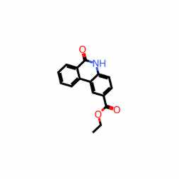 CCOC(=O)c1ccc2[nH]c(=O)c3ccccc3c2c1